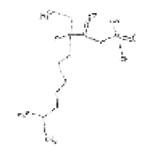 CCC(F)(CCCCCC(C)C)C(=O)CP(=O)(O)O